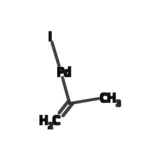 C=[C](C)[Pd][I]